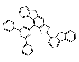 c1ccc(-c2nc(-c3ccccc3)nc(-c3c4nc(-c5cccc6c5sc5ccccc56)oc4cc4oc5ccccc5c34)n2)cc1